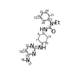 CCN(C(=O)N[C@H]1CC[C@@H](Nc2ncc(C)c(N(C)C)n2)CC1)c1cccc(C)c1